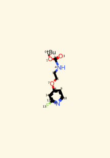 CC(C)(C)OC(=O)NCCOc1ccnc(F)c1